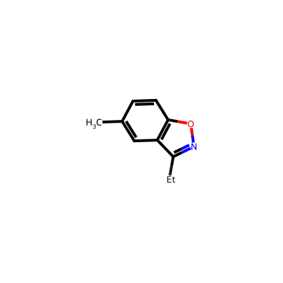 CCc1noc2ccc(C)cc12